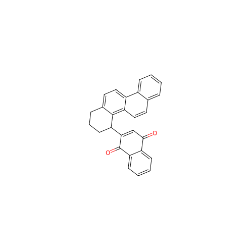 O=C1C=C(C2CCCc3ccc4c(ccc5ccccc54)c32)C(=O)c2ccccc21